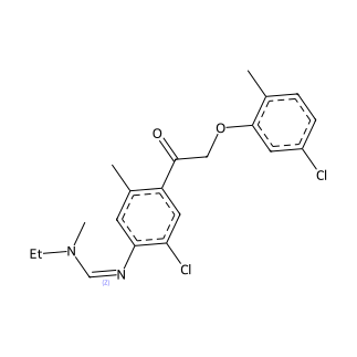 CCN(C)/C=N\c1cc(C)c(C(=O)COc2cc(Cl)ccc2C)cc1Cl